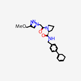 COCc1cn(CC(=O)N2CCC[C@H]2C(=O)NCc2ccc(C3=CC=CCC3)cc2)nn1